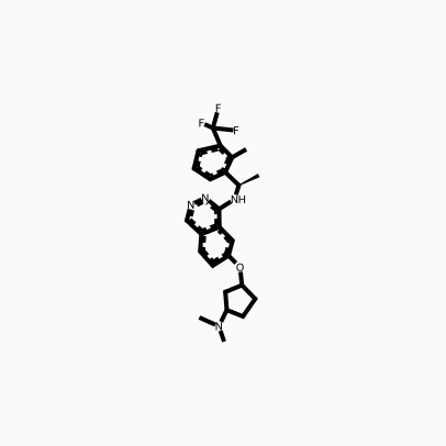 Cc1c([C@@H](C)Nc2nncc3ccc(OC4CCC(N(C)C)C4)cc23)cccc1C(F)(F)F